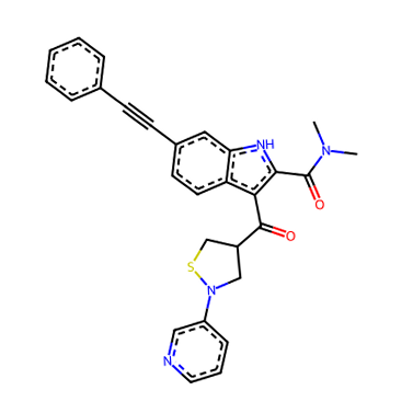 CN(C)C(=O)c1[nH]c2cc(C#Cc3ccccc3)ccc2c1C(=O)C1CSN(c2cccnc2)C1